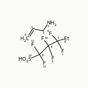 C=CCN.CCC(F)(F)C(F)(F)C(F)(F)S(=O)(=O)O